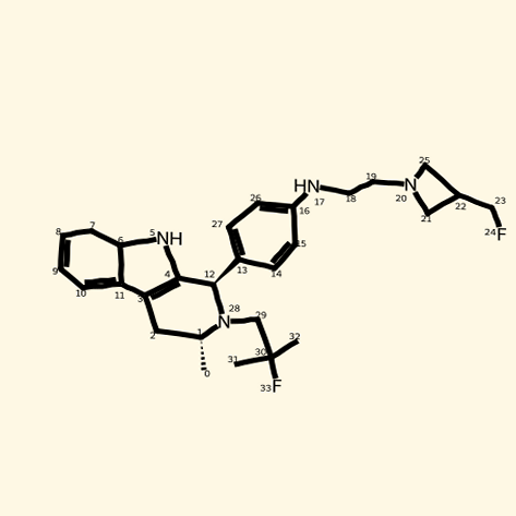 C[C@@H]1CC2=C(NC3CC=CC=C23)[C@@H](c2ccc(NCCN3CC(CF)C3)cc2)N1CC(C)(C)F